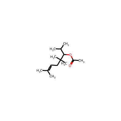 CC(=O)OC(C(C)C)C(C)(C)CC=C(C)C